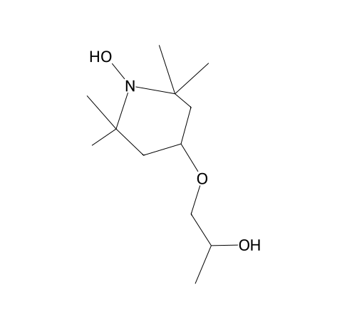 CC(O)COC1CC(C)(C)N(O)C(C)(C)C1